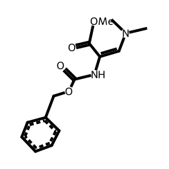 COC(=O)C(=CN(C)C)NC(=O)OCc1ccccc1